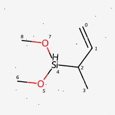 C=CC(C)[SiH](OC)OC